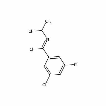 FC(F)(F)C(Cl)N=C(Cl)c1cc(Cl)cc(Cl)c1